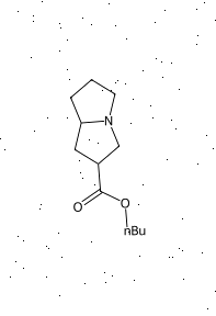 CCCCOC(=O)C1CC2CCCN2C1